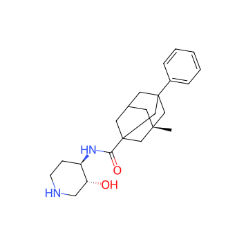 C[C@@]12CC3CC(C(=O)N[C@@H]4CCNC[C@H]4O)(CC(c4ccccc4)(C3)C1)C2